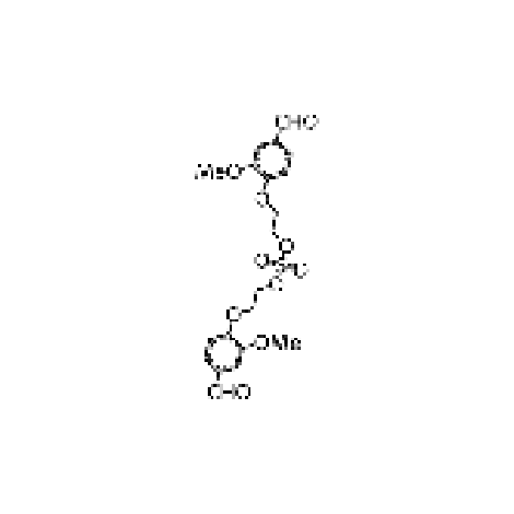 COc1cc(C=O)ccc1OCCOS(=O)(=O)OCCOc1ccc(C=O)cc1OC